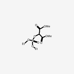 CCOP(=O)(OCC)OC(C(=O)OC)C(=O)OC